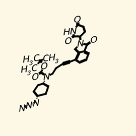 CC(C)(C)OC(=O)N(CCC#Cc1cccc2c1CN(C1CCC(=O)NC1=O)C2=O)[C@H]1CC[C@@H](N=[N+]=[N-])CC1